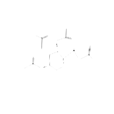 CC(=O)OC(=O)C1O[C@H](C)[C@@H](OC(C)=O)[C@H](OC(C)=O)[C@H]1OC(C)=O